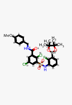 COc1ccc(CNC(=O)c2cc(Cl)cc(S(=O)(=O)Nc3cccc(B4OC(C)(C)C(C)(C)O4)c3F)c2Cl)cc1